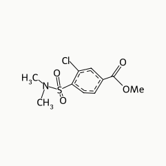 COC(=O)c1ccc(S(=O)(=O)N(C)C)c(Cl)c1